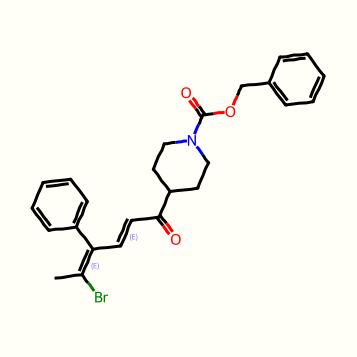 C/C(Br)=C(/C=C/C(=O)C1CCN(C(=O)OCc2ccccc2)CC1)c1ccccc1